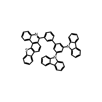 c1cc(-c2cc(-n3c4ccccc4c4ccccc43)cc(-n3c4ccccc4c4ccccc43)c2)cc(-c2nc3ccccc3c3c2ccc2c4ccccc4sc23)c1